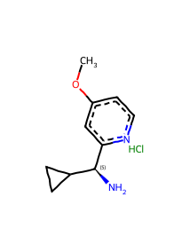 COc1ccnc([C@@H](N)C2CC2)c1.Cl